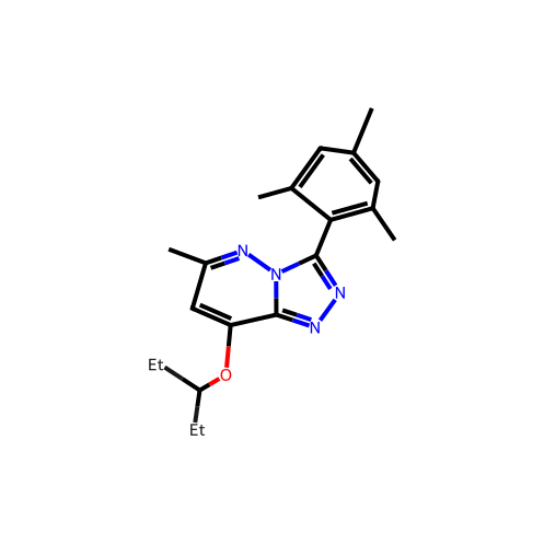 CCC(CC)Oc1cc(C)nn2c(-c3c(C)cc(C)cc3C)nnc12